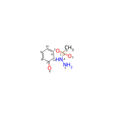 CS(=O)(=O)NN.O=C1C=CC=CC1